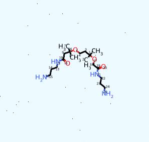 CC(C)(CCOC(C)(C)CC(=O)NCCCN)OCC(=O)NCCCN